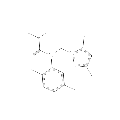 Cc1ccc(C)c(N(Cn2nc(C)cc2C)C(=O)C(C)Cl)c1